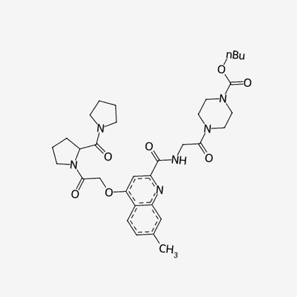 CCCCOC(=O)N1CCN(C(=O)CNC(=O)c2cc(OCC(=O)N3CCCC3C(=O)N3CCCC3)c3ccc(C)cc3n2)CC1